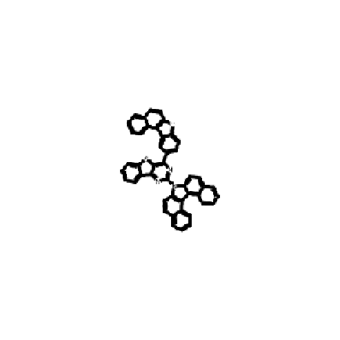 c1ccc2c(c1)ccc1oc3ccc(-c4nc(-n5c6ccc7ccccc7c6c6c7ccccc7ccc65)nc5c4sc4ccccc45)cc3c12